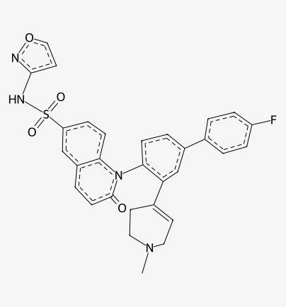 CN1CC=C(c2cc(-c3ccc(F)cc3)ccc2-n2c(=O)ccc3cc(S(=O)(=O)Nc4ccon4)ccc32)CC1